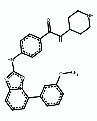 O=C(NC1CCNCC1)c1ccc(Nc2nc3cccc(-c4cccc(OC(F)(F)F)c4)n3n2)cc1